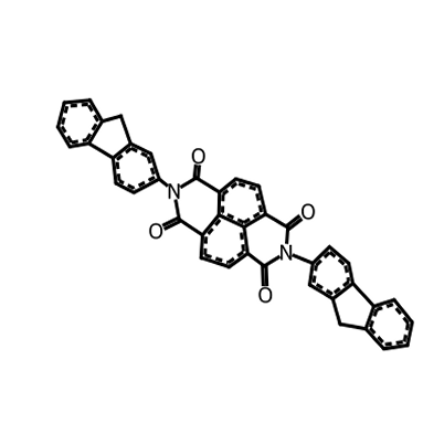 O=C1c2ccc3c4c(ccc(c24)C(=O)N1c1ccc2c(c1)Cc1ccccc1-2)C(=O)N(c1ccc2c(c1)Cc1ccccc1-2)C3=O